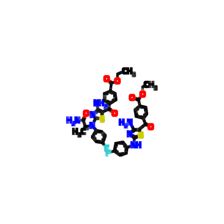 CCOC(=O)c1ccc(C(=O)c2sc(N(c3ccc(F)cc3)[C@H](C)C(N)=O)nc2N)cc1.CCOC(=O)c1ccc(C(=O)c2sc(Nc3ccc(F)cc3)nc2N)cc1